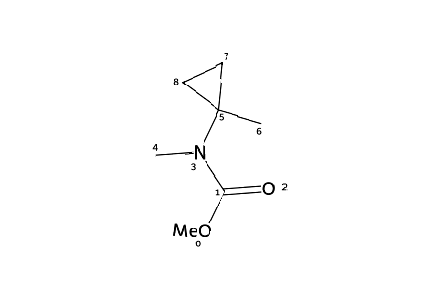 COC(=O)N(C)C1(C)CC1